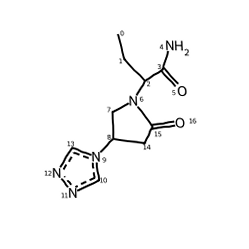 CCC(C(N)=O)N1CC(n2cnnc2)CC1=O